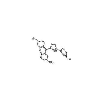 CC(C)(C)c1ccc2c(-c3ccc(-c4ccn(C(C)(C)C)n4)[nH]3)c3cc(C(C)(C)C)ccc3cc2c1